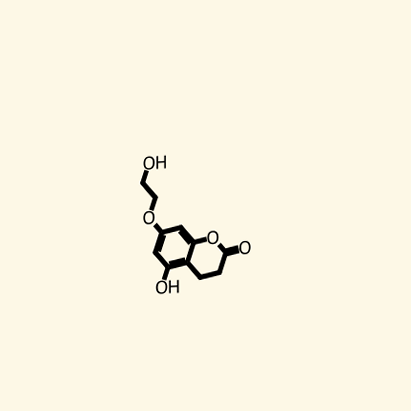 O=C1CCc2c(O)cc(OCCO)cc2O1